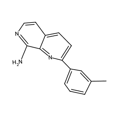 Cc1cccc(-c2ccc3ccnc(N)c3n2)c1